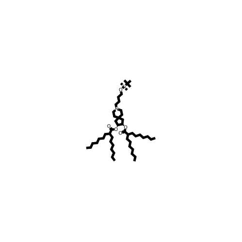 CCCCCCCC(CCCCCCC)C(=O)O[C@@H]1CC2(CCN(CCCCO[Si](C)(C)C(C)(C)C)CC2)C[C@H]1OC(=O)C(CCCCCCC)CCCCCCC